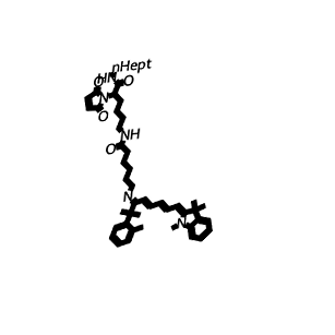 CCCCCCCNC(=O)C(CCCCNC(=O)CCCCC\N=C(/C=C/C=C/C=C1\N(C)c2ccccc2C1(C)C)C(C)(C)c1ccccc1C)N1C(=O)C=CC1=O